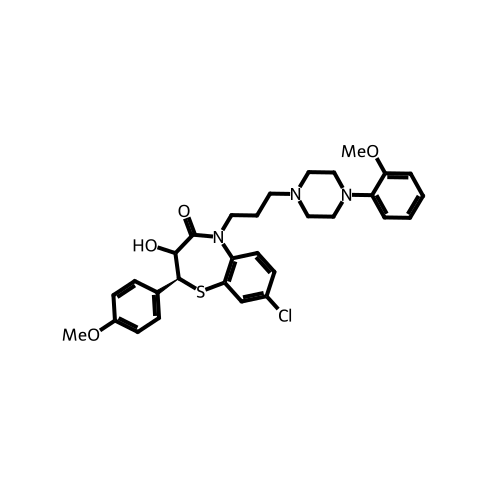 COc1ccc([C@@H]2Sc3cc(Cl)ccc3N(CCCN3CCN(c4ccccc4OC)CC3)C(=O)C2O)cc1